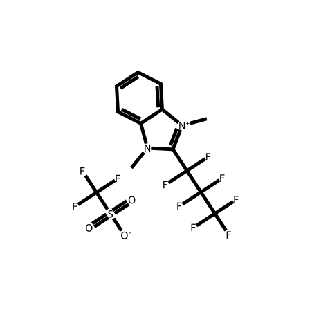 Cn1c(C(F)(F)C(F)(F)C(F)(F)F)[n+](C)c2ccccc21.O=S(=O)([O-])C(F)(F)F